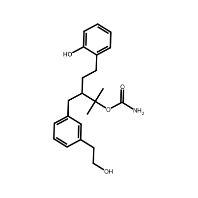 CC(C)(OC(N)=O)C(CCc1ccccc1O)Cc1cccc(CCO)c1